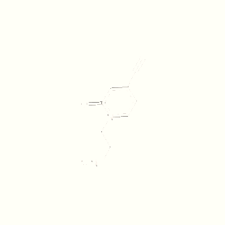 [C]#Cc1ccn(CCNC(C)=O)c(=O)c1